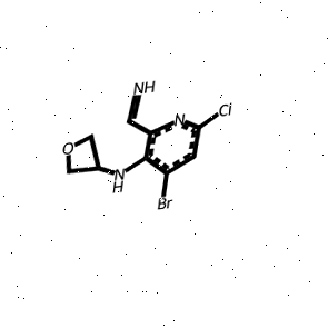 N=Cc1nc(Cl)cc(Br)c1NC1COC1